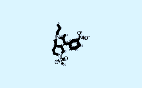 CCCN(CC1CCN(S(C)(=O)=O)CC1)C(C)Cc1cccc([N+](=O)[O-])c1